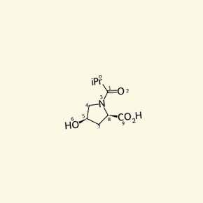 CC(C)C(=O)N1C[C@H](O)C[C@@H]1C(=O)O